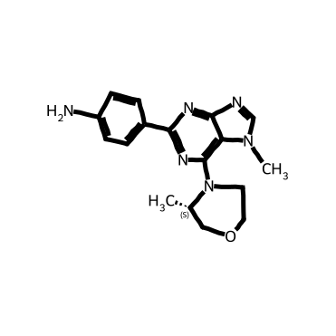 C[C@H]1COCCN1c1nc(-c2ccc(N)cc2)nc2ncn(C)c12